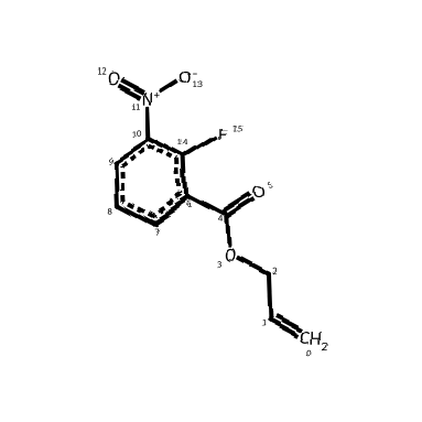 C=CCOC(=O)c1cccc([N+](=O)[O-])c1F